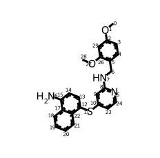 COc1ccc(CNc2cc(Sc3ccc(N)c4ccccc34)ccn2)c(OC)c1